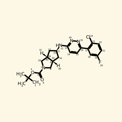 CC(C)(C)OC(=O)N1C[C@H]2C[C@H](Nc3ccc(-c4cc(F)ccc4Cl)nn3)C[C@H]2C1